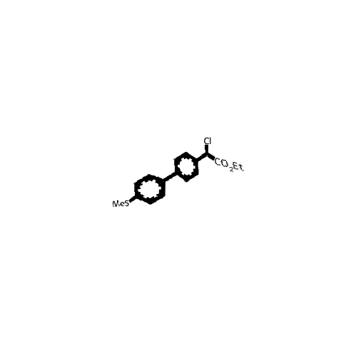 CCOC(=O)C(Cl)c1ccc(-c2ccc(SC)cc2)cc1